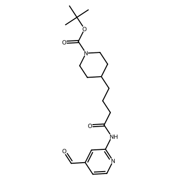 CC(C)(C)OC(=O)N1CCC(CCCC(=O)Nc2cc(C=O)ccn2)CC1